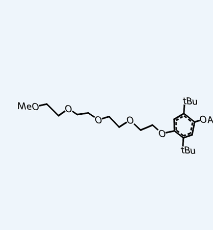 COCCOCCOCCOCCOc1cc(C(C)(C)C)c(OC(C)=O)cc1C(C)(C)C